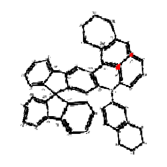 c1ccc(N(c2ccc3c(c2)CCCC3)c2cc3c(cc2-c2cccc4c2CCCC4)-c2ccccc2C32c3ccccc3-c3ccccc32)cc1